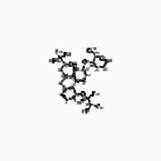 OC(CN(Cc1cccc(OC(F)(F)C(F)F)c1)c1nccc(Oc2ccccc2Cl)n1)C(F)(F)F